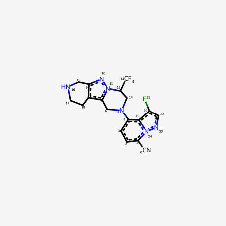 N#Cc1ccc(N2Cc3c4c(nn3C(C(F)(F)F)C2)CNCC4)c2c(F)cnn12